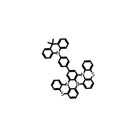 CC1(C)c2ccccc2N(c2ccc(-c3cc4c5c(c3)N3c6ccccc6Sc6cccc(c63)B5c3cccc5c3N4c3ccccc3S5)cc2)c2ccccc21